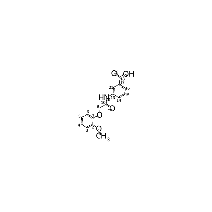 COc1ccccc1OCC(=O)Nc1cccc(C(=O)O)c1